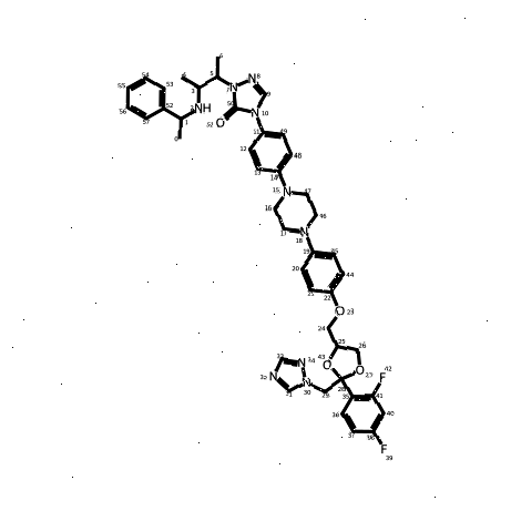 CC(NC(C)C(C)n1ncn(-c2ccc(N3CCN(c4ccc(OCC5COC(Cn6cncn6)(c6ccc(F)cc6F)O5)cc4)CC3)cc2)c1=O)c1ccccc1